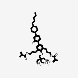 C=C(C)C(=O)OCCCc1cc(-c2ccc(C3CCC(CCCCC)CC3)cc2F)cc(CCCOC(=O)C(=C)C)c1OCC(CN)(CN)CN